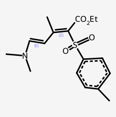 CCOC(=O)/C(=C(C)/C=C/N(C)C)S(=O)(=O)c1ccc(C)cc1